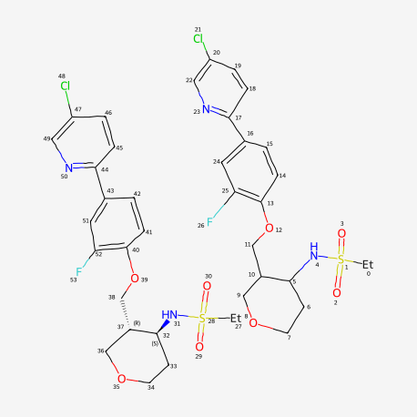 CCS(=O)(=O)NC1CCOCC1COc1ccc(-c2ccc(Cl)cn2)cc1F.CCS(=O)(=O)N[C@H]1CCOC[C@@H]1COc1ccc(-c2ccc(Cl)cn2)cc1F